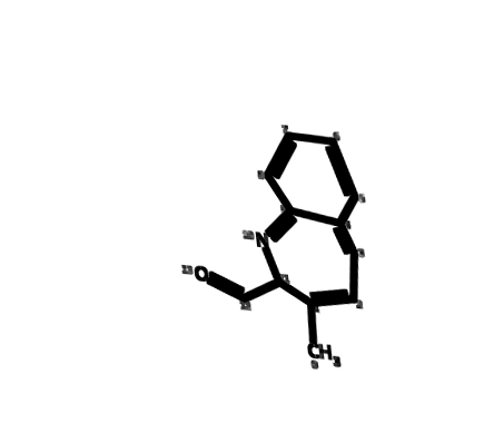 CC1=CC=c2ccccc2=NC1C=O